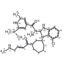 CNC/C=C/C(=O)N1CCCCC(N2c3c(Cl)cccc3NC2N(N)C(=O)C2=CC(C)NC(P(C)C)=C2)C1